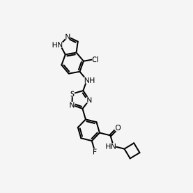 O=C(NC1CCC1)c1cc(-c2nsc(Nc3ccc4[nH]ncc4c3Cl)n2)ccc1F